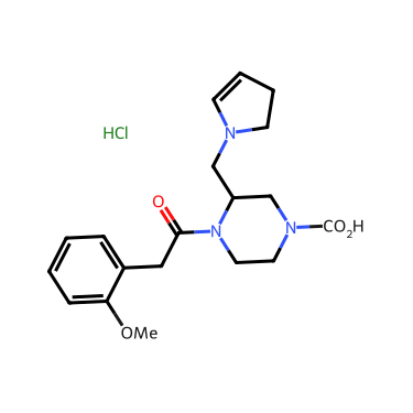 COc1ccccc1CC(=O)N1CCN(C(=O)O)CC1CN1C=CCC1.Cl